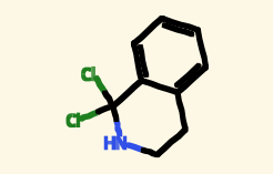 ClC1(Cl)NCCc2ccccc21